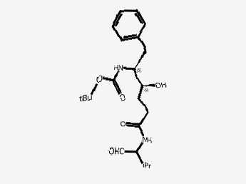 CC(C)C([C]=O)NC(=O)CC[C@H](O)[C@H](Cc1ccccc1)NC(=O)OC(C)(C)C